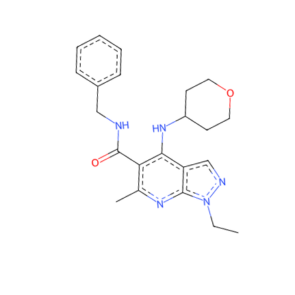 CCn1ncc2c(NC3CCOCC3)c(C(=O)NCc3ccccc3)c(C)nc21